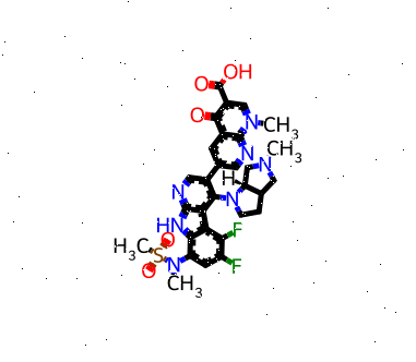 CN1CC2CCN(c3c(-c4cnc5c(c4)c(=O)c(C(=O)O)cn5C)cnc4[nH]c5c(N(C)S(C)(=O)=O)cc(F)c(F)c5c34)[C@@H]2C1